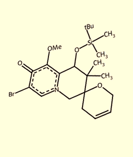 COc1c2n(cc(Br)c1=O)CC1(CC=CCO1)C(C)(C)C2O[Si](C)(C)C(C)(C)C